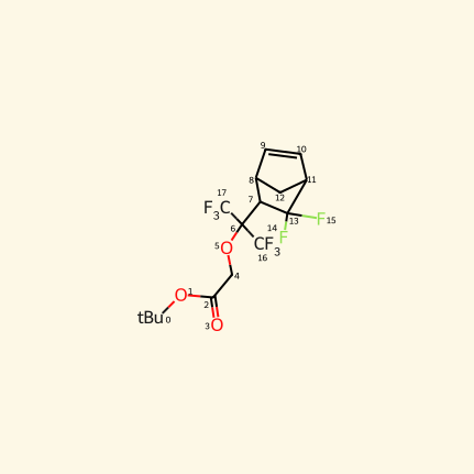 CC(C)(C)OC(=O)COC(C1C2C=CC(C2)C1(F)F)(C(F)(F)F)C(F)(F)F